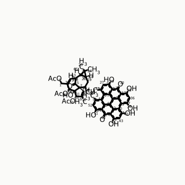 CC(=O)OCC1=C[C@@H]2C(=O)[C@]3(C=C(C)[C@H](OC(C)=O)[C@@]3(O)[C@@H]1OC(C)=O)[C@H](C)C[C@@H]1[C@H]2C1(C)C.Cc1cc(O)c2c(=O)c3c(O)cc(O)c4c5c(O)cc(O)c6c(=O)c7c(O)cc(C)c8c1c2c(c34)c(c78)c65